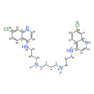 CN(CCCCN(C)CCCNc1ccnc2cc(Cl)ccc12)CCCNc1ccnc2cc(Cl)ccc12